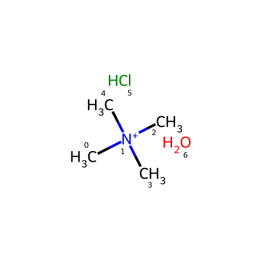 C[N+](C)(C)C.Cl.O